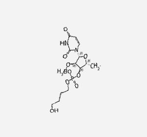 [CH2][C@H]1O[C@@H](n2ccc(=O)[nH]c2=O)[C@H](OC)[C@@H]1OP(=O)(O)OCCCCO